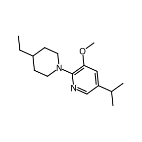 CCC1CCN(c2ncc(C(C)C)cc2OC)CC1